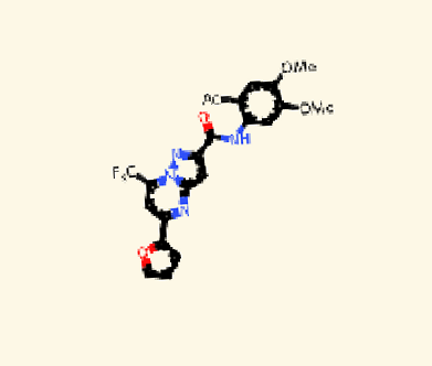 COc1cc(NC(=O)c2cc3nc(-c4ccco4)cc(C(F)(F)F)n3n2)c(C(C)=O)cc1OC